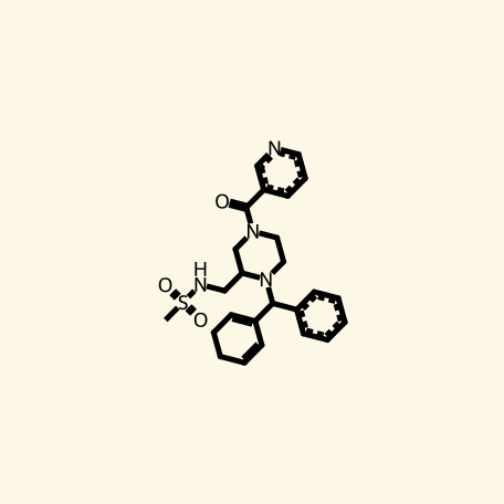 CS(=O)(=O)NCC1CN(C(=O)c2cccnc2)CCN1C(C1=CCCC=C1)c1ccccc1